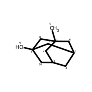 CC12C[C]3CC(C1)CC(O)(C3)C2